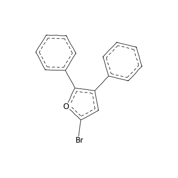 Brc1cc(-c2ccccc2)c(-c2ccccc2)o1